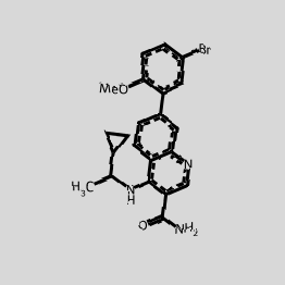 COc1ccc(Br)cc1-c1ccc2c(NC(C)C3CC3)c(C(N)=O)cnc2c1